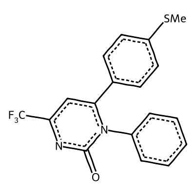 CSc1ccc(-c2cc(C(F)(F)F)nc(=O)n2-c2ccccc2)cc1